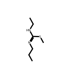 CCC/N=C(/NCC)SC